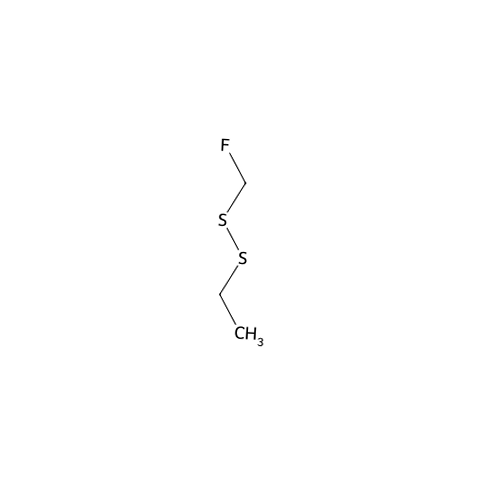 CCSSCF